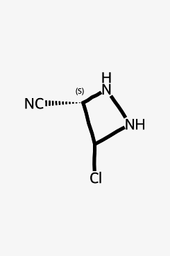 N#C[C@@H]1NNC1Cl